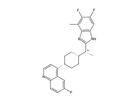 Cc1c(F)c(F)cc2[nH]c([C@H](C)[C@H]3CC[C@@H](c4ccnc5ccc(F)cc54)CC3)nc12